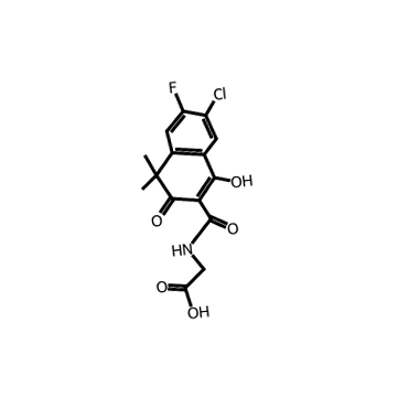 CC1(C)C(=O)C(C(=O)NCC(=O)O)=C(O)c2cc(Cl)c(F)cc21